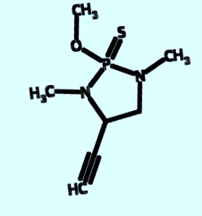 C#CC1CN(C)P(=S)(OC)N1C